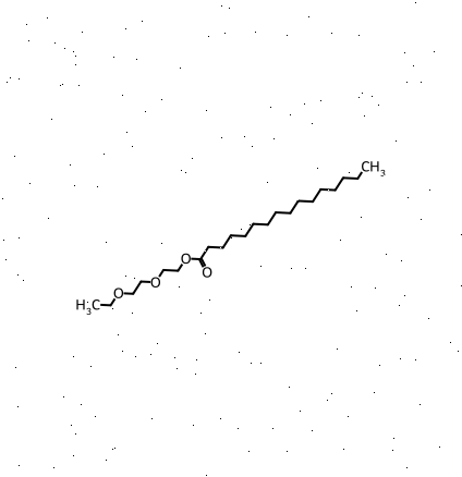 CCCCCCCCCCCCCCCC(=O)OCCOCCOCC